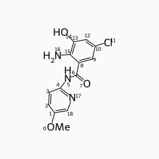 COc1ccc(NC(=O)c2cc(Cl)cc(O)c2N)nc1